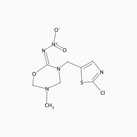 CN1COC(=N[N+](=O)[O-])N(Cc2cnc(Cl)s2)C1